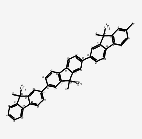 Cc1ccc2c(c1)C(C)(C(F)(F)F)c1cc(-c3ccc4c(c3)C(C)(C(F)(F)F)c3cc(-c5ccc6c(c5)C(C)(C(F)(F)F)c5ccccc5-6)ccc3-4)ccc1-2